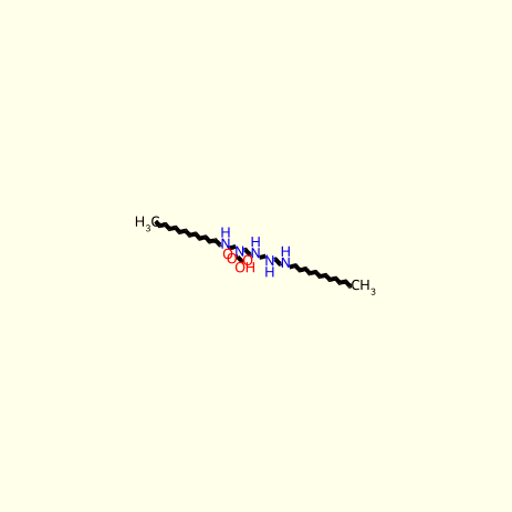 CCCCCCCCCCCCCCNCCNCCNCCN(CC(=O)NCCCCCCCCCCCCCC)C(=O)C(=O)O